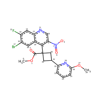 COC(=O)C1(c2c([N+](=O)[O-])cnc3cc(F)c(Br)cc23)CC(c2cccc(OC)n2)C1